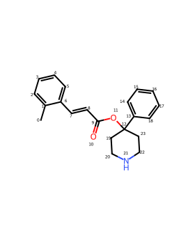 Cc1ccccc1/C=C/C(=O)OC1(c2ccccc2)CCNCC1